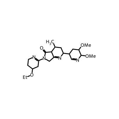 CCOC1CCN=C(N2CC3=NC(C4C=NC(OC)C(OC)C4)CC(C)C3C2=O)C1